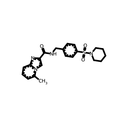 Cc1cccc2nc(C(=O)NCc3ccc(S(=O)(=O)N4CCCCC4)cc3)cn12